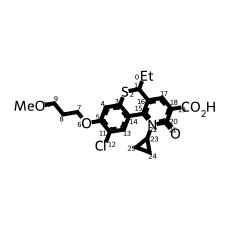 CCC1Sc2cc(OCCCOC)c(Cl)cc2-c2c1cc(C(=O)O)c(=O)n2C1CC1